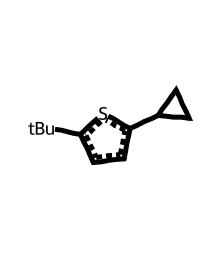 CC(C)(C)c1ccc(C2CC2)s1